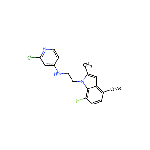 COc1ccc(F)c2c1cc(C)n2CCNc1ccnc(Cl)c1